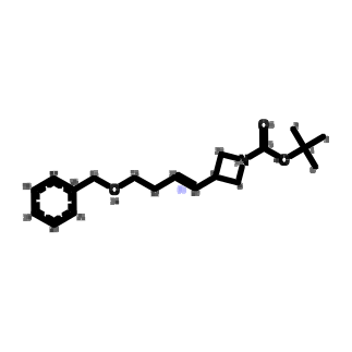 CC(C)(C)OC(=O)N1CC(/C=C/CCOCc2ccccc2)C1